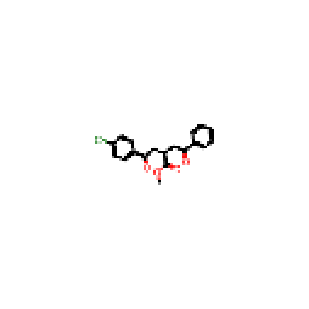 COC(=O)C(CC(=O)c1ccccc1)CC(=O)c1ccc(Cl)cc1